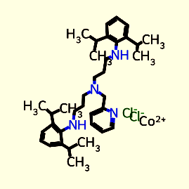 CC(C)c1cccc(C(C)C)c1NCCCN(CCCNc1c(C(C)C)cccc1C(C)C)Cc1ccccn1.[Cl-].[Cl-].[Co+2]